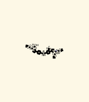 Cn1c(-c2ccc(C3=CCN(C(=NC(=O)OC(C)(C)C)NC(=O)O)C3)cc2)nnc1-c1ccc(C2=CCN(/C(=N/C(=O)OC(C)(C)C)NC(=O)OC(C)(C)C)C2)c(C(F)(F)F)c1